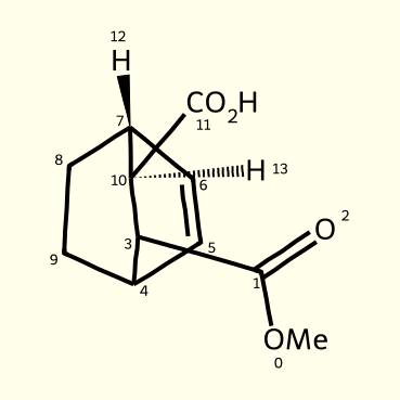 COC(=O)C1C2C=C[C@@H](CC2)[C@H]1C(=O)O